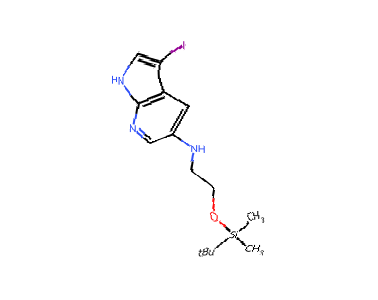 CC(C)(C)[Si](C)(C)OCCNc1cnc2[nH]cc(I)c2c1